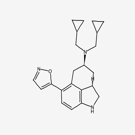 c1cc(-c2ccc3c4c2C[C@@H](N(CC2CC2)CC2CC2)C[C@H]4CN3)on1